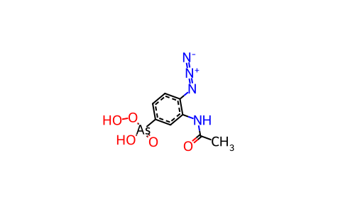 CC(=O)Nc1cc([As](=O)(O)OO)ccc1N=[N+]=[N-]